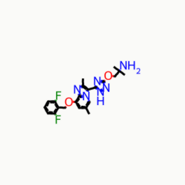 Cc1cc(OCc2c(F)cccc2F)c2nc(C)c(-c3nc(OCC(C)(C)N)n[nH]3)n2c1